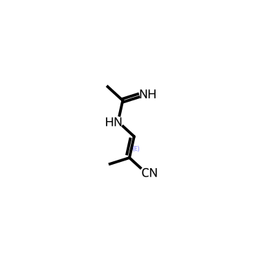 CC(=N)N/C=C(\C)C#N